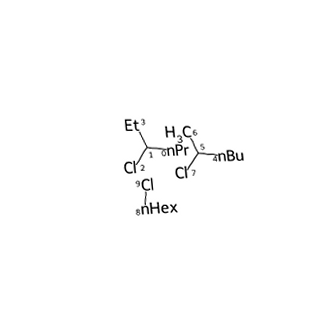 CCCC(Cl)CC.CCCCC(C)Cl.CCCCCCCl